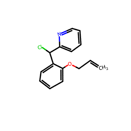 C=CCOc1ccccc1C(Cl)c1ccccn1